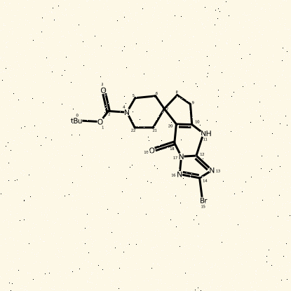 CC(C)(C)OC(=O)N1CCC2(CCc3[nH]c4nc(Br)nn4c(=O)c32)CC1